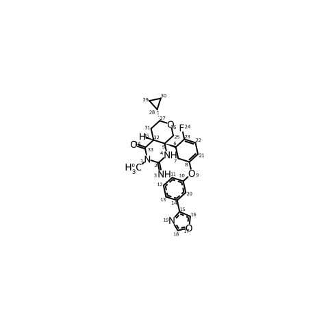 CN1C(=N)N[C@@]2(C3CC(Oc4cccc(-c5cocn5)c4)=CC=C3F)CO[C@@H](C3CC3)C[C@H]2C1=O